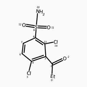 CCC(=O)c1c(Cl)ccc(S(N)(=O)=O)c1Cl